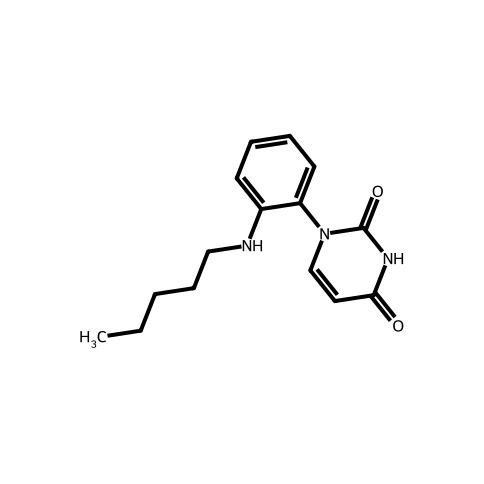 CCCCCNc1ccccc1-n1ccc(=O)[nH]c1=O